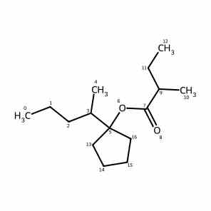 CCCC(C)C1(OC(=O)C(C)CC)CCCC1